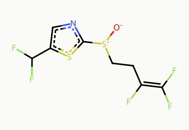 [O-][S+](CCC(F)=C(F)F)c1ncc(C(F)F)s1